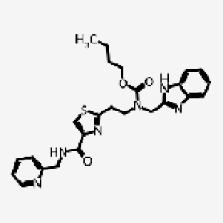 CCCCOC(=O)N(CCc1nc(C(=O)NCc2ccccn2)cs1)Cc1nc2ccccc2[nH]1